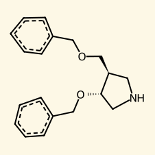 c1ccc(COC[C@H]2CNC[C@@H]2OCc2ccccc2)cc1